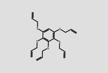 C=CCSc1cc(SCC=C)c(SCC=C)c(SCC=C)c1SCC=C